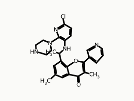 Cc1cc(C(C)Nc2ccc(Cl)nc2N2CCNCC2)c2oc(-c3cccnc3)c(C)c(=O)c2c1